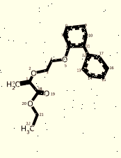 C=C(OCCOc1ccccc1-c1ccccc1)C(=O)OCC